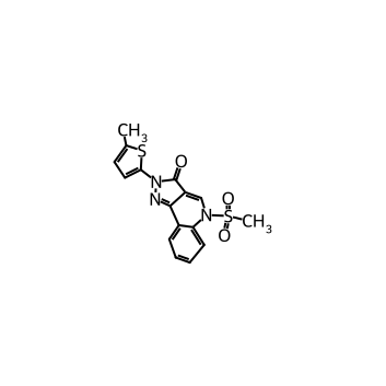 Cc1ccc(-n2nc3c4ccccc4n(S(C)(=O)=O)cc-3c2=O)s1